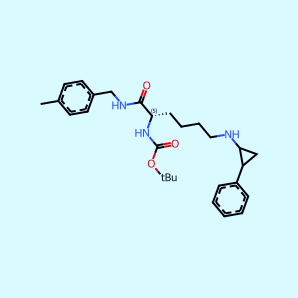 Cc1ccc(CNC(=O)[C@H](CCCCNC2CC2c2ccccc2)NC(=O)OC(C)(C)C)cc1